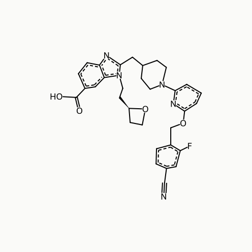 N#Cc1ccc(COc2cccc(N3CCC(Cc4nc5ccc(C(=O)O)cc5n4CC[C@@H]4CCO4)CC3)n2)c(F)c1